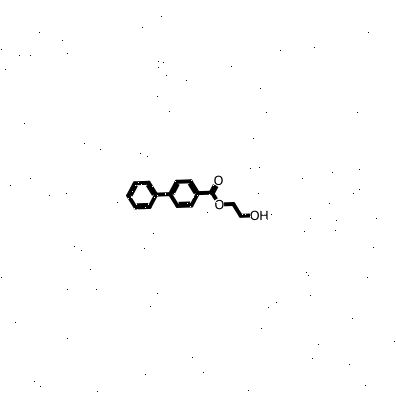 O=C(OCCO)c1ccc(-c2ccccc2)cc1